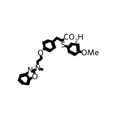 COc1ccc(SC(Cc2ccc(OCCN(C)c3nc4ccccc4o3)cc2)C(=O)O)cc1